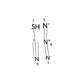 N#CS.[N-]=[N+]=[N-]